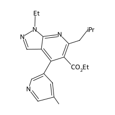 CCOC(=O)c1c(CC(C)C)nc2c(cnn2CC)c1-c1cncc(C)c1